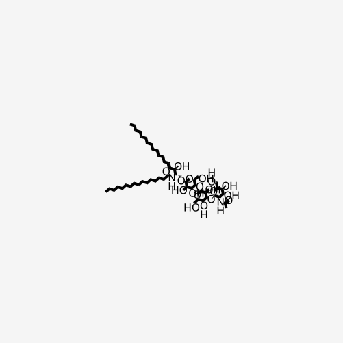 CCCCCCCCCCCCC/C=C/[C@@H](O)[C@H](CO[C@@H]1OC(CO)[C@@H](O[C@@H]2OC(CO)[C@H](O)[C@H](O[C@@H]3OC(CO)[C@@H](O)[C@H](O)C3NC(C)=O)C2O)[C@H](O)C1O)NC(=O)CCCCCCCCCCCCCCC